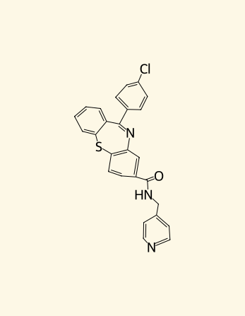 O=C(NCc1ccncc1)c1ccc2c(c1)N=C(c1ccc(Cl)cc1)c1ccccc1S2